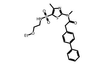 CCOCCNS(=O)(=O)c1sc(N(C)C(=O)Cc2ccc(-c3ccccc3)cc2)nc1C